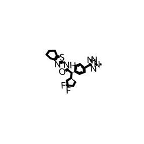 Cn1nnc(-c2ccc([C@@H](C(=O)Nc3nc4c(s3)CCCC4)[C@H]3CCC(F)(F)C3)cc2)n1